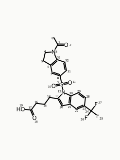 CC(=O)N1CCc2cc(S(=O)(=O)n3c(CCCC(=O)O)cc4cc(C(F)(F)F)ccc43)ccc21